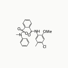 COc1cc(Cl)c(C)cc1NC(=O)c1ccccc1S(=O)(=O)N(C)c1ccccc1